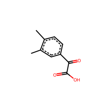 Cc1ccc(C(=O)C(=O)O)cc1C